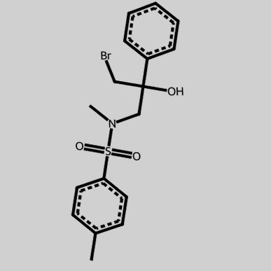 Cc1ccc(S(=O)(=O)N(C)CC(O)(CBr)c2ccccc2)cc1